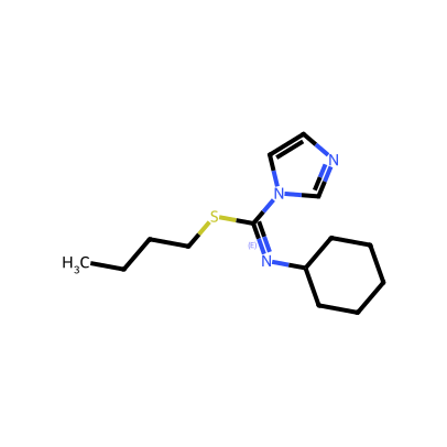 CCCCS/C(=N/C1CCCCC1)n1ccnc1